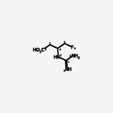 N=C(N)NC(CF)CC(=O)O